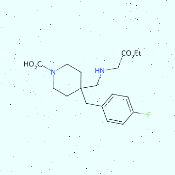 CCOC(=O)CNCC1(Cc2ccc(F)cc2)CCN(C(=O)O)CC1